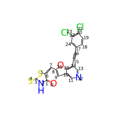 O=C1NC(=S)S/C1=C/c1cc2cncc(C#Cc3ccc(Cl)c(Cl)c3)c2o1